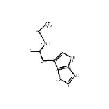 CC(Cc1c[nH]c2ncsc12)NCC(F)(F)F